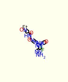 CCC(=O)N1CCC(C(=O)NCC(=O)N2CCN(c3nc(-c4cnc(N)nc4C(F)F)nc(N4CCOCC4)n3)CC2)CC1